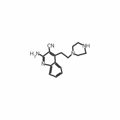 N#Cc1c(N)nc2ccccc2c1CCN1CCNCC1